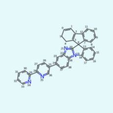 C1=CC2=C(CC1)C1(c3ccccc32)c2ccccc2-n2c1nc1cc(-c3ccc(-c4ccccn4)nc3)ccc12